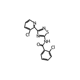 O=C(Nc1nc(-c2ncccc2Cl)ns1)c1ccccc1Cl